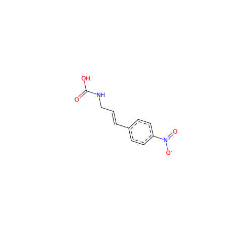 O=C(O)NC/C=C/c1ccc([N+](=O)[O-])cc1